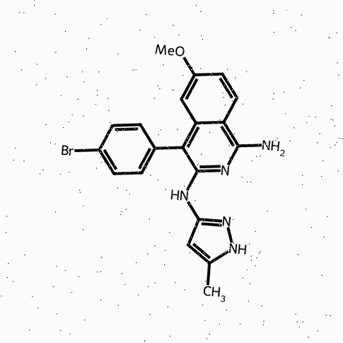 COc1ccc2c(N)nc(Nc3cc(C)[nH]n3)c(-c3ccc(Br)cc3)c2c1